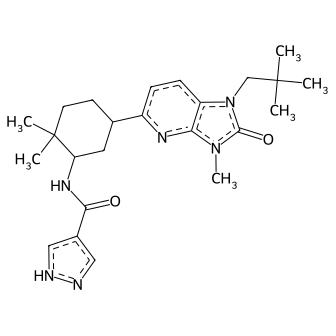 Cn1c(=O)n(CC(C)(C)C)c2ccc(C3CCC(C)(C)C(NC(=O)c4cn[nH]c4)C3)nc21